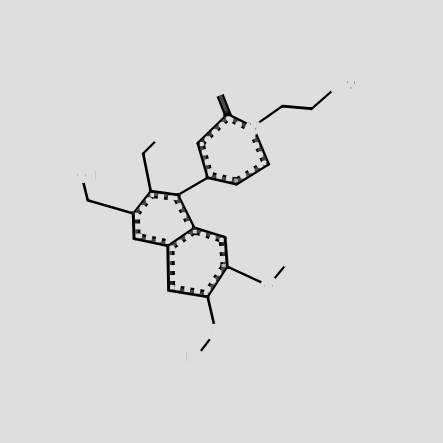 CCOc1cc2cc(CO)c(CO)c(-c3ccn(CCOC)c(=O)c3)c2cc1OCC